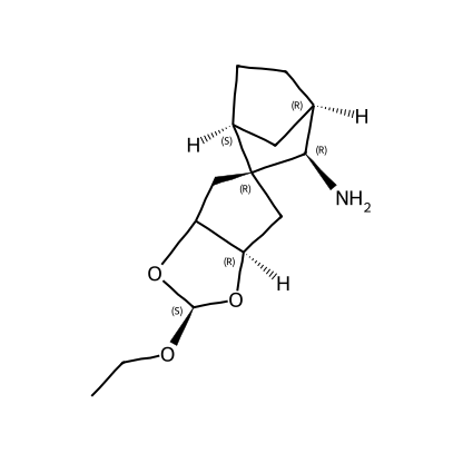 CCO[C@H]1OC2C[C@@]3(C[C@H]2O1)[C@H]1CC[C@H](C1)[C@H]3N